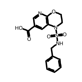 O=C(O)c1cnc2c(c1)N(S(=O)(=O)NCc1ccccc1)CCO2